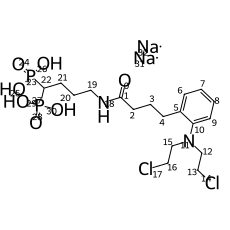 O=C(CCCc1ccccc1N(CCCl)CCCl)NCCCC(P(=O)(O)O)P(=O)(O)O.[Na].[Na]